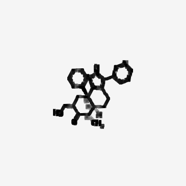 C[C@@H]1C(=O)C(=CO)C[C@]2(c3ccccc3)c3n[nH]c(-c4cccnc4)c3CC[C@@H]12